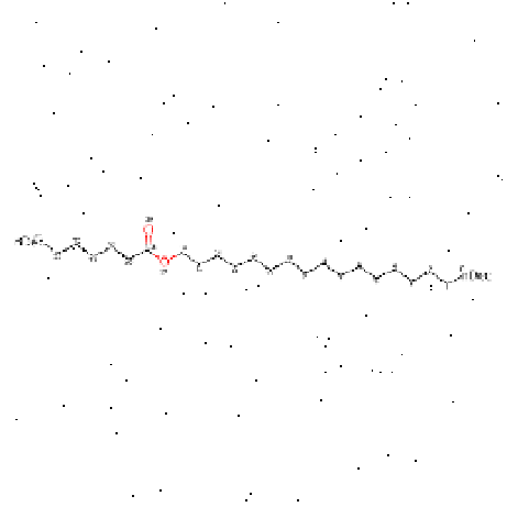 CCCCCCCCCCCCCCCCCCCCCCCCCCOC(=O)CCCCCCCCCCCCCCC